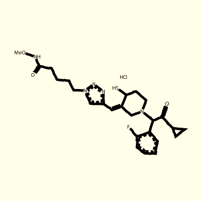 CONC(=O)CCCCn1cc(/C=C2/CN(C(C(=O)C3CC3)c3ccccc3F)CCC2S)nn1.Cl